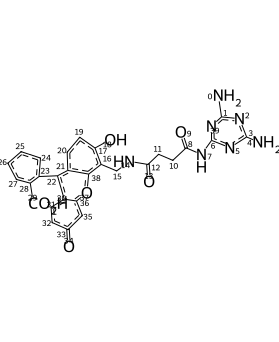 Nc1nc(N)nc(NC(=O)CCC(=O)NCc2c(O)ccc3c(-c4ccccc4C(=O)O)c4ccc(=O)cc-4oc23)n1